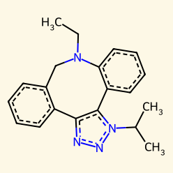 CCN1Cc2ccccc2-c2nnn(C(C)C)c2-c2ccccc21